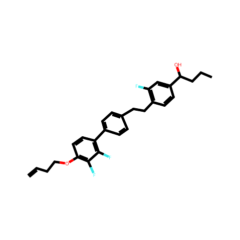 C=CCCOc1ccc(-c2ccc(CCc3ccc(C(O)CCC)cc3F)cc2)c(F)c1F